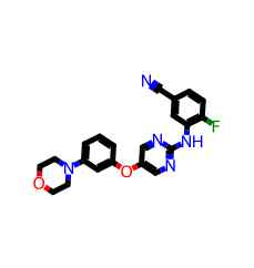 N#Cc1ccc(F)c(Nc2ncc(Oc3cccc(N4CCOCC4)c3)cn2)c1